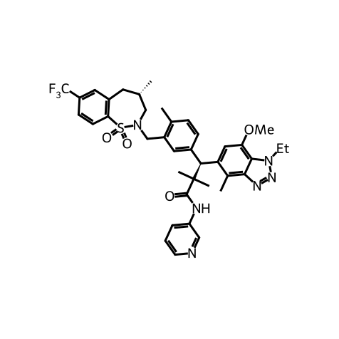 CCn1nnc2c(C)c([C@H](c3ccc(C)c(CN4C[C@@H](C)Cc5cc(C(F)(F)F)ccc5S4(=O)=O)c3)C(C)(C)C(=O)Nc3cccnc3)cc(OC)c21